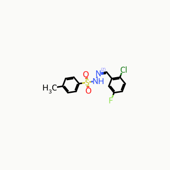 Cc1ccc(S(=O)(=O)N/N=C\c2cc(F)ccc2Cl)cc1